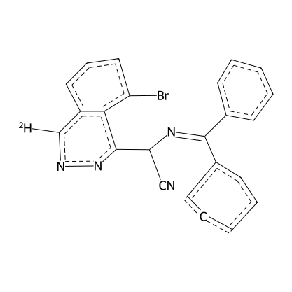 [2H]c1nnc(C(C#N)N=C(c2ccccc2)c2ccccc2)c2c(Br)cccc12